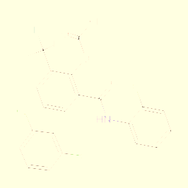 CC(=O)Oc1c(C(=O)Nc2ccccc2Cl)cccc1C(F)(F)F.Clc1cccc(Cl)c1